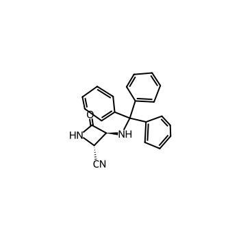 N#C[C@@H]1NC(=O)[C@H]1NC(c1ccccc1)(c1ccccc1)c1ccccc1